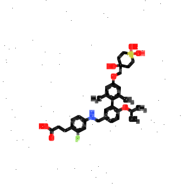 Cc1cc(OCC2(O)CCS(O)(O)CC2)cc(C)c1-c1cc(CNc2ccc(CCC(=O)O)c(F)c2)ccc1OC(C)C